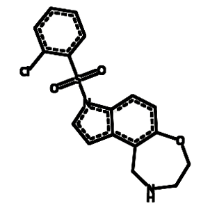 O=S(=O)(c1ccccc1Cl)n1ccc2c3c(ccc21)OCCNC3